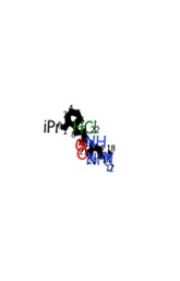 CC(C)Cc1ccccc1CCC(=O)NC(CCN(C)C)C(N)=O.Cl